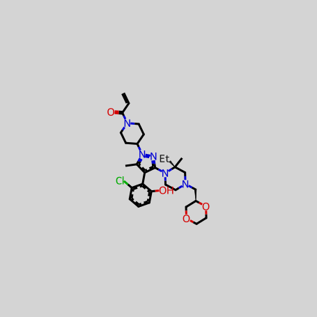 C=CC(=O)N1CCC(n2nc(N3CCN(C[C@@H]4COCCO4)C[C@]3(C)CC)c(-c3c(O)cccc3Cl)c2C)CC1